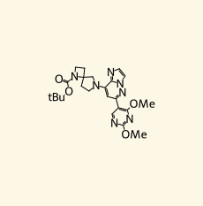 COc1ncc(-c2cc(N3CCC4(CCN4C(=O)OC(C)(C)C)C3)c3nccn3n2)c(OC)n1